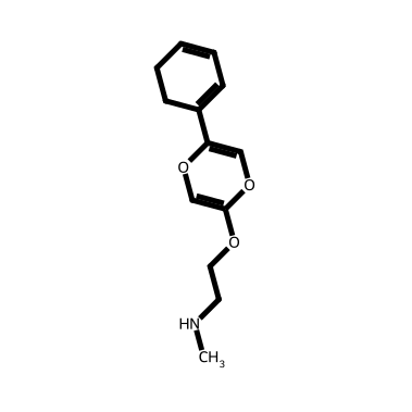 CNCCOC1=COC(C2=CC=CCC2)=CO1